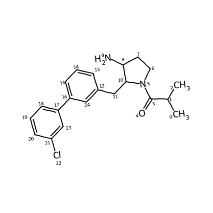 CC(C)C(=O)N1CCC(N)C1Cc1cccc(-c2cccc(Cl)c2)c1